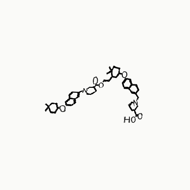 CC1(C)CCC(Oc2ccc3cc(CN4CCCC(C(=O)OCCC5CC(Oc6ccc7cc(CN8CCCC(C(=O)O)C8)ccc7c6)CCC5(C)C)C4)ccc3c2)CC1